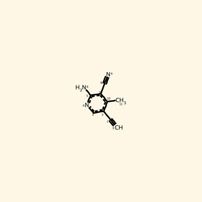 C#Cc1cnc(N)c(C#N)c1C